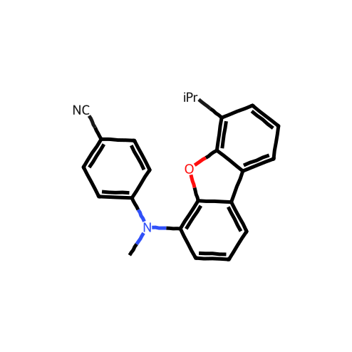 CC(C)c1cccc2c1oc1c(N(C)c3ccc(C#N)cc3)cccc12